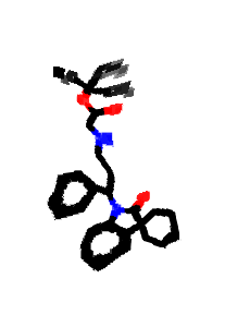 CC(C)(C)OC(=O)CNCCC(c1ccccc1)N1C(=O)C2(CCCCC2)c2ccccc21